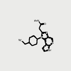 CNC(=O)Cc1nc2cnc3[nH]ccc3c2n1C1CCC(CC#N)CC1